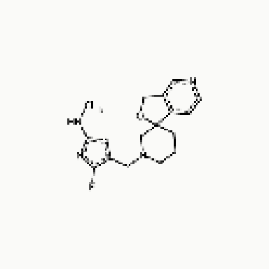 CNc1nc(F)c(CN2CCCC3(C2)OCc2cnccc23)s1